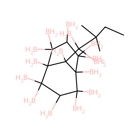 BC1C(B)(B)C2(B)C(B)(B)C(B)C(B)(B)C(B)(C1(B)B)C2(B)C(B)(B)C(C)(C)CC